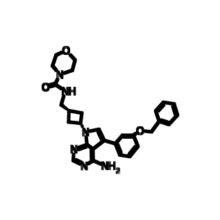 Nc1ncnc2c1c(-c1cccc(OCc3ccccc3)c1)cn2[C@H]1C[C@H](CNC(=O)N2CCOCC2)C1